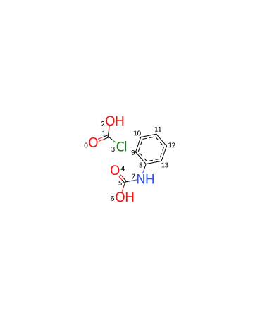 O=C(O)Cl.O=C(O)Nc1ccccc1